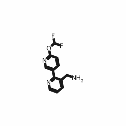 NCc1cccnc1-c1ccc(OC(F)F)nc1